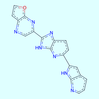 c1cnc2[nH]c(-c3ccc4nc(-c5cnc6ccoc6n5)[nH]c4n3)cc2c1